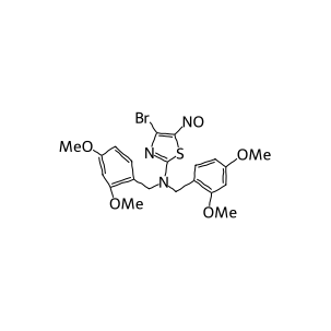 COc1ccc(CN(Cc2ccc(OC)cc2OC)c2nc(Br)c(N=O)s2)c(OC)c1